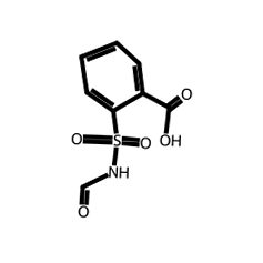 O=CNS(=O)(=O)c1ccccc1C(=O)O